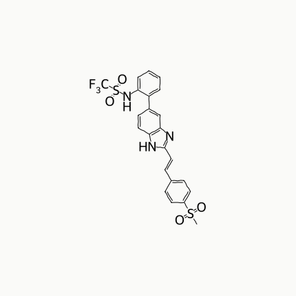 CS(=O)(=O)c1ccc(C=Cc2nc3cc(-c4ccccc4NS(=O)(=O)C(F)(F)F)ccc3[nH]2)cc1